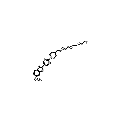 COc1ccc2nc(-c3cnc(N4CCC(CCOCCOCCOCCF)CC4)nc3)sc2c1